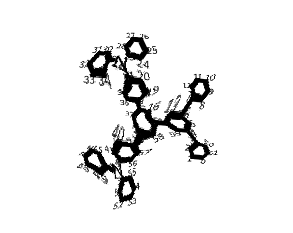 c1ccc(-c2cc(-c3ccccc3)cc(-c3cc(-c4ccc(N(c5ccccc5)c5ccccc5)cc4)cc(-c4ccc(N(c5ccccc5)c5ccccc5)cc4)c3)c2)cc1